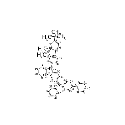 CC(C)(C)c1ccc2c(c1)C(C)(C)c1cc(-n3c4ccccc4c4cc(N(c5ccccc5)c5ccc(-c6ccccc6)cc5)ccc43)ccc1-2